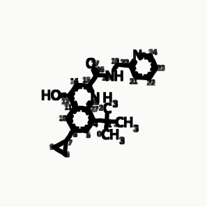 CC(C)(C)c1cc(C2CC2)cc2c(O)cc(C(=O)NCc3ccccn3)nc12